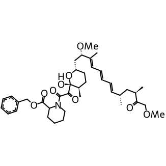 COCC(=O)[C@H](C)C[C@H](C)C=CC=CC=C(C)[C@H](C[C@@H]1CC[C@@H](C)[C@](O)(C(=O)C(=O)N2CCCCC2C(=O)OCc2ccccc2)O1)OC